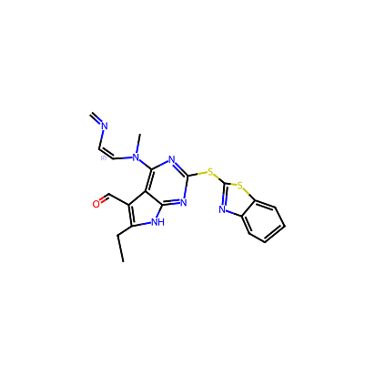 C=N/C=C\N(C)c1nc(Sc2nc3ccccc3s2)nc2[nH]c(CC)c(C=O)c12